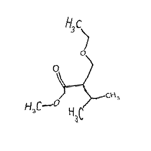 CCOCC(C(=O)OC)C(C)C